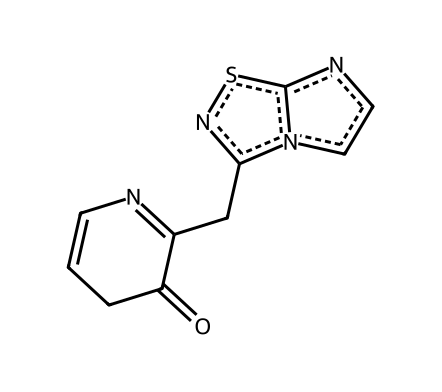 O=C1CC=CN=C1Cc1nsc2nccn12